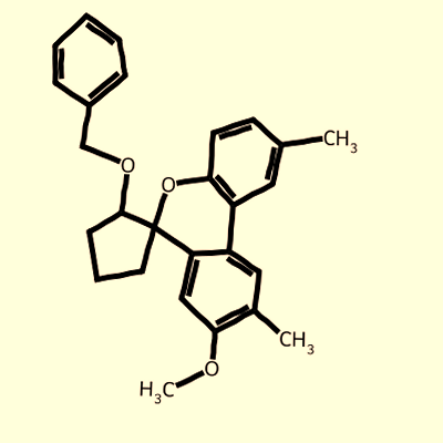 COc1cc2c(cc1C)-c1cc(C)ccc1OC21CCCC1OCc1ccccc1